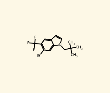 CC(C)(C)Cn1ccc2cc(C(F)(F)F)c(Br)cc21